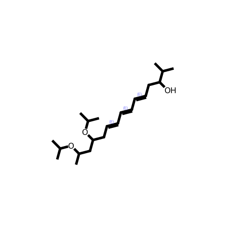 CC(C)OC(C)CC(C/C=C/C=C/C=C/CC(O)C(C)C)OC(C)C